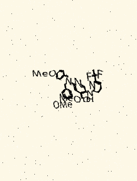 COC(=O)c1cc(N(Cc2ccc(OC)cc2)Cc2ccc(OC)cc2)ncc1Nc1cccc(C(C)(F)F)n1